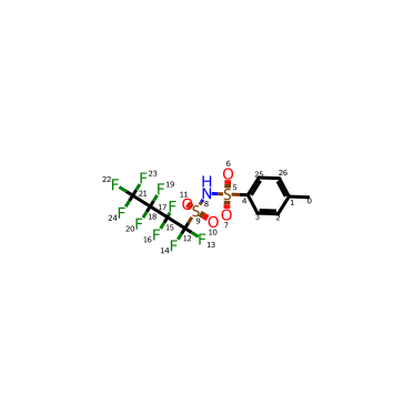 Cc1ccc(S(=O)(=O)NS(=O)(=O)C(F)(F)C(F)(F)C(F)(F)C(F)(F)F)cc1